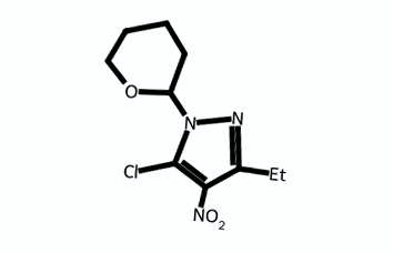 CCc1nn(C2CCCCO2)c(Cl)c1[N+](=O)[O-]